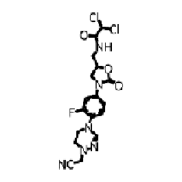 N#CCN1CCN(c2ccc(N3CC(CNC(=O)C(Cl)Cl)OC3=O)cc2F)C=N1